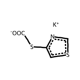 O=C([O-])Sc1cscn1.[K+]